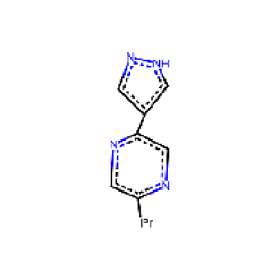 CC(C)c1cnc(-c2cn[nH]c2)cn1